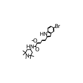 CO/C(=C\C=C\c1cc2cc(Br)ccc2[nH]1)C(=O)NC1CC(C)(C)N(C)C(C)(C)C1